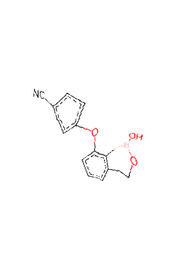 N#Cc1ccc(Oc2cccc3c2B(O)OC3)cc1